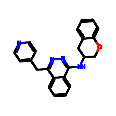 c1ccc2c(c1)CC(Nc1nnc(Cc3ccncc3)c3ccccc13)CO2